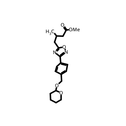 COC(=O)CC(C)Cc1nc(-c2ccc(COC3CCCCO3)cc2)no1